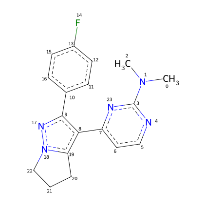 CN(C)c1nccc(-c2c(-c3ccc(F)cc3)nn3c2CCC3)n1